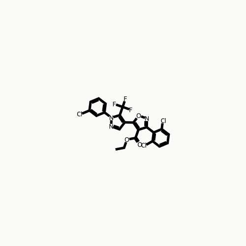 CCOC(=O)c1c(-c2c(Cl)cccc2Cl)noc1-c1cnn(-c2cccc(Cl)c2)c1C(F)(F)F